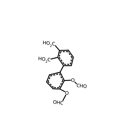 O=COc1cccc(-c2cccc(C(=O)O)c2C(=O)O)c1OC=O